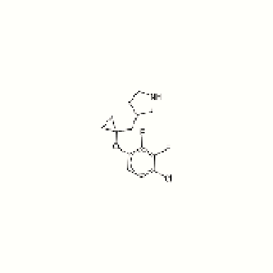 Fc1c(Cl)ccc(OC2(CC3CCNC3)CC2)c1F